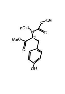 CCCCCCCCN(C(=O)OC(C)(C)C)[C@@H](Cc1ccc(O)cc1)C(=O)OC